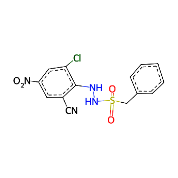 N#Cc1cc([N+](=O)[O-])cc(Cl)c1NNS(=O)(=O)Cc1ccccc1